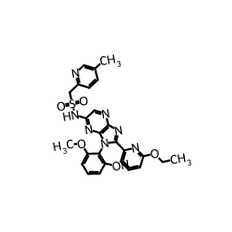 CCOC1=NC(c2nc3ncc(NS(=O)(=O)Cc4ccc(C)cn4)nc3n2-c2c(O)cccc2OC)=C=C=C1